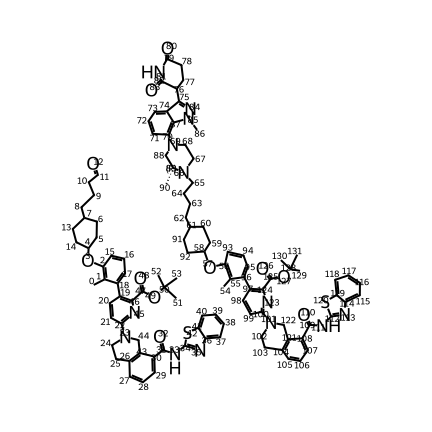 Cc1c(OC2CCC(CCCC=O)CC2)cccc1-c1ccc(N2CCc3cccc(C(=O)Nc4nc5ccccc5s4)c3C2)nc1C(=O)OC(C)(C)C.Cc1c(OC2CCC(CCCCN3CCN(c4cccc5c(C6CCC(=O)NC6=O)nn(C)c45)C[C@H]3C)CC2)cccc1-c1ccc(N2CCc3cccc(C(=O)Nc4nc5ccccc5s4)c3C2)nc1C(=O)OC(C)(C)C